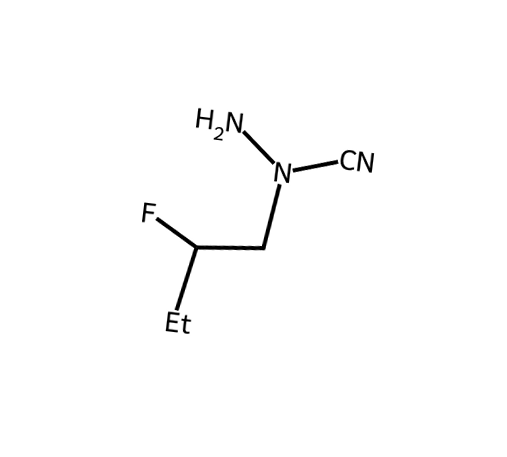 CCC(F)CN(N)C#N